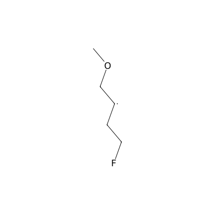 COC[CH]CCF